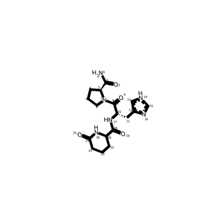 NC(=O)[C@@H]1CCCN1C(=O)[C@H](Cc1c[nH]cn1)NC(=O)C1CCCC(=O)N1